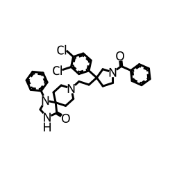 O=C(c1ccccc1)N1CCC(CCN2CCC3(CC2)C(=O)NCN3c2ccccc2)(c2ccc(Cl)c(Cl)c2)C1